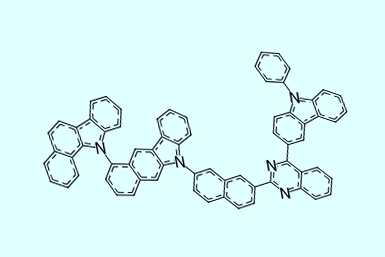 c1ccc(-n2c3ccccc3c3cc(-c4nc(-c5ccc6ccc(-n7c8ccccc8c8cc9c(-n%10c%11ccccc%11c%11ccc%12ccccc%12c%11%10)cccc9cc87)cc6c5)nc5ccccc45)ccc32)cc1